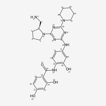 NC[C@@H]1CCCN1c1nc(Nc2ccc(NC(=O)c3ccc(O)cc3O)c(O)c2)nc(N2CCCCC2)n1